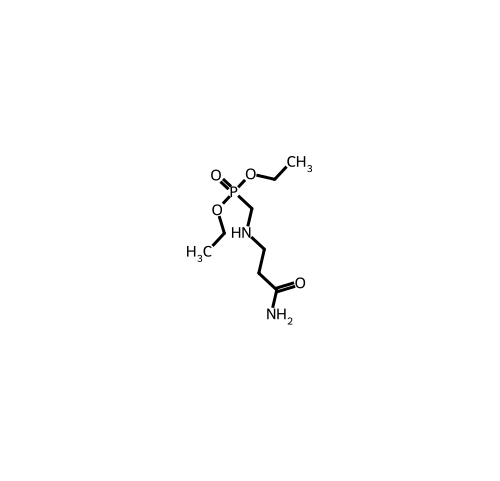 CCOP(=O)(CNCCC(N)=O)OCC